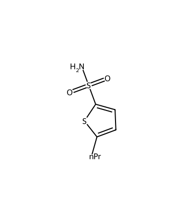 CCCc1ccc(S(N)(=O)=O)s1